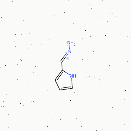 N/N=C/c1ccc[nH]1